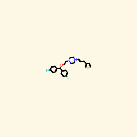 Fc1ccc(C(OCCN2CCN(C=CCc3ccsc3)CC2)c2ccc(F)cc2)cc1